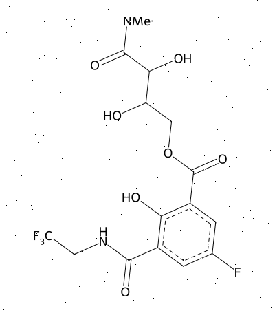 C[N]C(=O)C(O)C(O)COC(=O)c1cc(F)cc(C(=O)NCC(F)(F)F)c1O